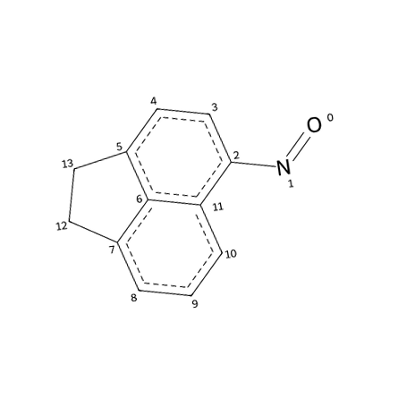 O=Nc1ccc2c3c(cccc13)CC2